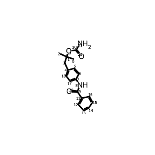 CC(C)(Cc1ccc(NC(=O)c2ccccc2)cc1)OC(N)=O